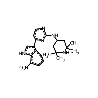 CC1(C)CC(Nc2nccc(-c3c[nH]c4c([N+](=O)[O-])cccc34)n2)CC(C)(C)N1